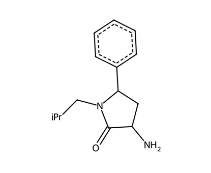 CC(C)CN1C(=O)C(N)CC1c1ccccc1